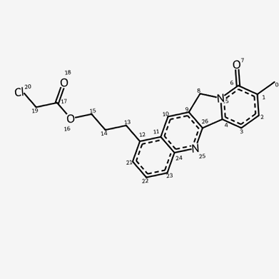 Cc1ccc2n(c1=O)Cc1cc3c(CCCOC(=O)CCl)cccc3nc1-2